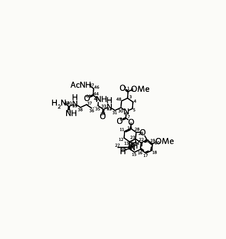 COC(=O)C1CCN(C(=O)OC2=CC[C@H]3[C@H]4Cc5ccc(OC)c6c5[C@@]3(CCN4C)C2O6)C(CNC(=O)[C@H](CCCNC(=N)N)NC(=O)CNC(C)=O)C1